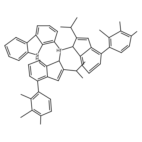 Cc1ccc(-c2cccc3c2C=C(C(C)C)[CH]3[Hf]([c]2cccc3c2[SiH2]c2ccccc2-3)[CH]2C(C(C)C)=Cc3c(-c4ccc(C)c(C)c4C)cccc32)c(C)c1C